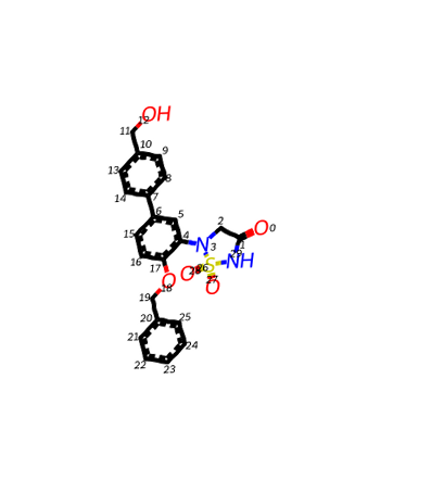 O=C1CN(c2cc(-c3ccc(CO)cc3)ccc2OCc2ccccc2)S(=O)(=O)N1